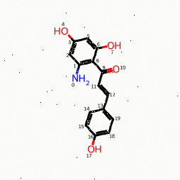 Nc1cc(O)cc(O)c1C(=O)/C=C/c1ccc(O)cc1